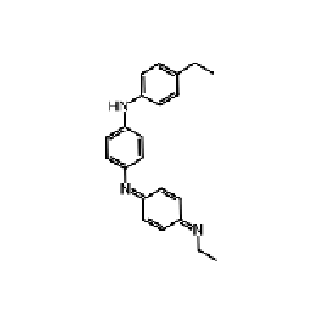 CCN=C1C=CC(=Nc2ccc(Nc3ccc(CC)cc3)cc2)C=C1